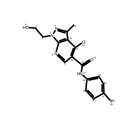 Cc1nn(CCO)c2ncc(C(=O)Nc3ccc(C(C)C)cc3)c(Cl)c12